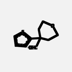 O=[C]C1(c2cccs2)CCOCC1